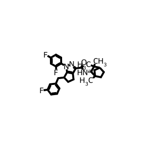 CC12CCC(C1)C(C)(C)[C@H]2NC(=O)c1nn(-c2ccc(F)cc2F)c2c1CCC2Cc1cccc(F)c1